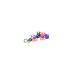 O=C(COc1ccc(Cl)c(F)c1)NC12CCC(NC(=O)COc3cccnn3)(CC1)[C@@H](O)C2